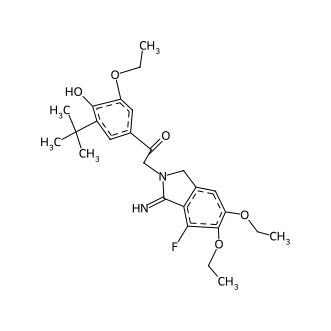 CCOc1cc(C(=O)CN2Cc3cc(OCC)c(OCC)c(F)c3C2=N)cc(C(C)(C)C)c1O